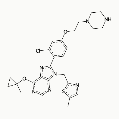 Cc1cnc(Cn2c(-c3ccc(OCCN4CCNCC4)cc3Cl)nc3c(OC4(C)CC4)ncnc32)s1